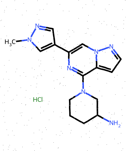 Cl.Cn1cc(-c2cn3nccc3c(N3CCCC(N)C3)n2)cn1